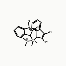 CCCC1=C(CC)c2ccccc2[CH]1[Zr]([CH3])([CH3])([CH]1C(CCC)=C(CC)c2ccccc21)[SiH](C)C